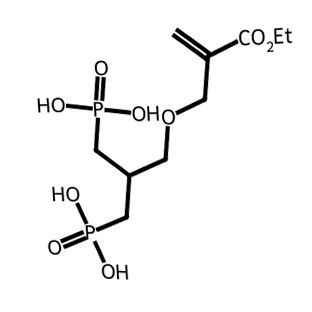 C=C(COCC(CP(=O)(O)O)CP(=O)(O)O)C(=O)OCC